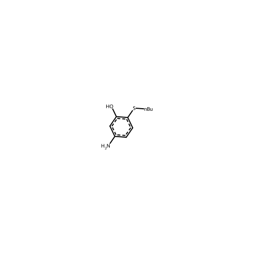 CCCCSc1ccc(N)cc1O